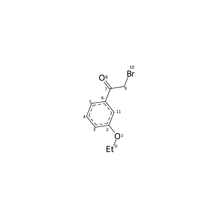 CCOc1cccc(C(=O)CBr)c1